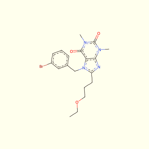 CCOCCCc1nc2c(c(=O)n(C)c(=O)n2C)n1Cc1cccc(Br)c1